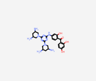 NC1CC(N)CN(c2nc(Nc3ccc(C(=O)c4ccc(O)cc4O)c(O)c3)nc(N3CC(N)CC(N)C3)n2)C1